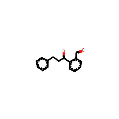 O=[C]c1ccccc1C(=O)CCc1ccccc1